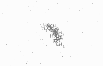 CC1CCc2c1nc1c(c2NC(=O)N=[S@](N)(=O)c2cc(C(C)(C)O)cs2)CCC1